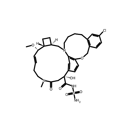 CO[C@H]1/C=C/CCN(C)C(=O)C[C@](O)(C(=O)NS(N)(=O)=O)c2ccc3c(c2)N(CCCCc2cc(Cl)ccc2CO3)C[C@@H]2CC[C@H]21